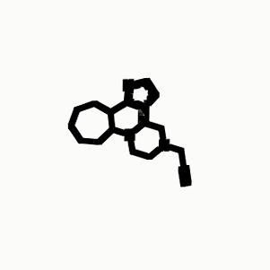 C#CCN1CCN(C2CCCCCC2c2ncc[nH]2)CC1